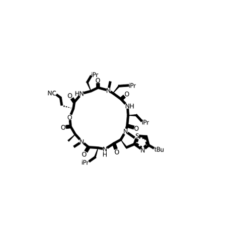 CC(C)C[C@@H]1NC(=O)[C@H](Cc2nc(C(C)(C)C)cs2)N(C)C(=O)[C@H](CC(C)C)NC(=O)[C@H](CC(C)C)N(C)C(=O)[C@H](CC(C)C)NC(=O)[C@@H](CCC#N)OC(=O)[C@H](C)N(C)C1=O